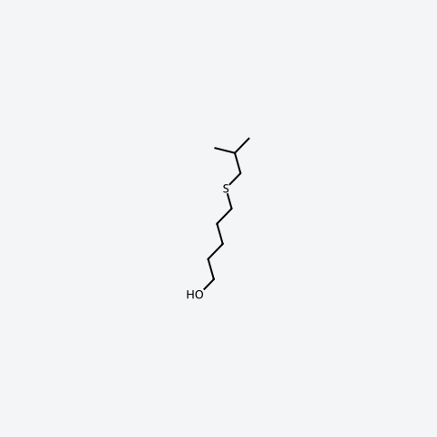 CC(C)CSCCCCCO